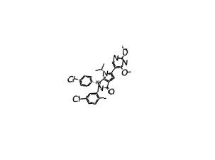 COc1ncc(-c2cc3c(n2C(C)C)[C@@H](c2ccc(Cl)cc2)N(c2cc(Cl)ccc2C)C3=O)c(OC)n1